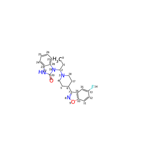 CCC(N1CCC(c2noc3ccc(F)cc23)CC1)n1c(=O)[nH]c2ccccc21